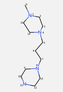 CN1CCN(CCCN2CC[N]CC2)CC1